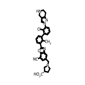 Cc1c(-c2nc3cc(CN4CC[C@H](C(=O)O)C4)cc(C#N)c3o2)cccc1-c1cccc(-n2cc3c(n2)CCNC3)c1Cl